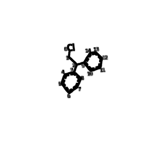 ClCC(c1ccccc1)c1ccccc1